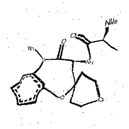 CN[C@@H](C)C(=O)N[C@@H]1C(=O)N(C(C)C)c2ccccc2OC12CCOCC2